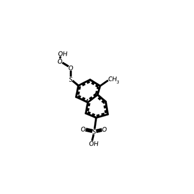 Cc1cc(SOOO)cc2cc(S(=O)(=O)O)ccc12